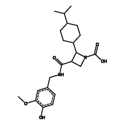 COc1cc(CNC(=O)C2CN(C(=O)O)C2C2CCC(C(C)C)CC2)ccc1O